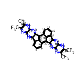 FC(F)(F)c1nc2nc3c4cccc5c4c(c4cccc6c7nc8nc(C(F)(F)F)c(C(F)(F)F)nc8nc7c5c64)c3nc2nc1C(F)(F)F